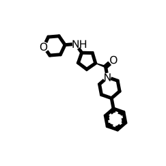 O=C([C@H]1CCC(NC2CCOCC2)C1)N1CCC(c2ccccc2)CC1